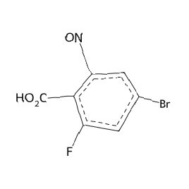 O=Nc1cc(Br)cc(F)c1C(=O)O